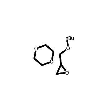 C1COCCO1.CCCCOCC1CO1